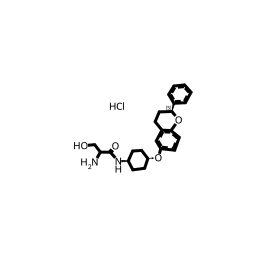 Cl.NC(CO)C(=O)N[C@H]1CC[C@H](Oc2ccc3c(c2)CC[C@@H](c2ccccc2)O3)CC1